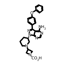 Nc1ncnc2c1c(-c1ccc(Oc3ccccc3)cc1)nn2[C@@H]1CCCN(C2CN(C(=O)O)C2)C1